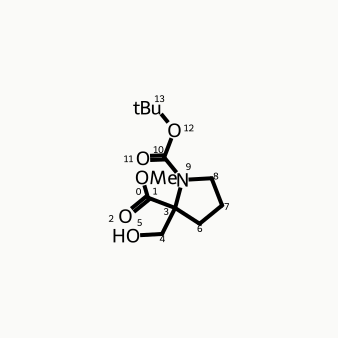 COC(=O)C1(CO)CCCN1C(=O)OC(C)(C)C